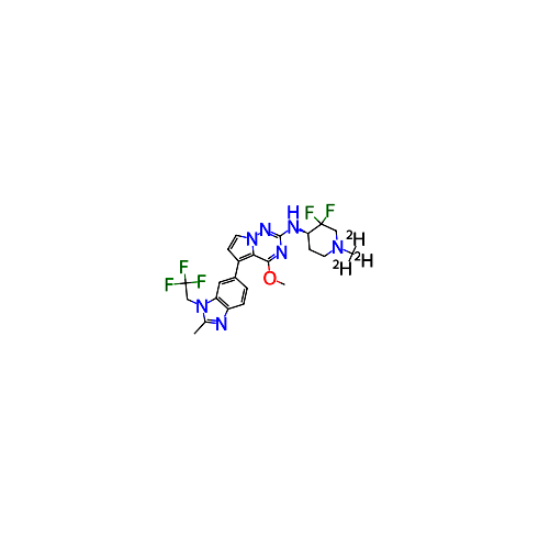 [2H]C([2H])([2H])N1CC[C@@H](Nc2nc(OC)c3c(-c4ccc5nc(C)n(CC(F)(F)F)c5c4)ccn3n2)C(F)(F)C1